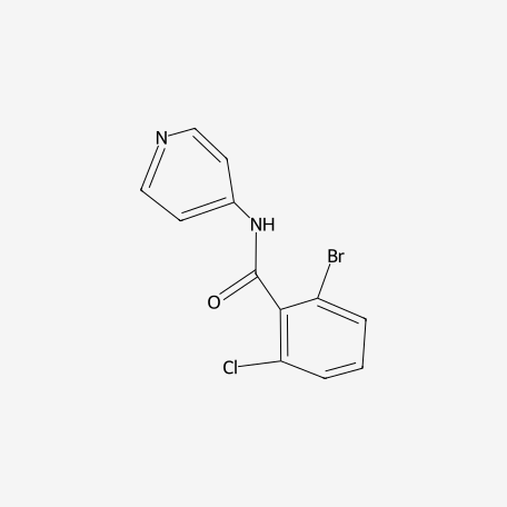 O=C(Nc1ccncc1)c1c(Cl)cccc1Br